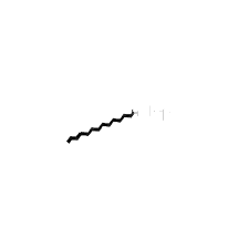 C=CC=CCCCCCCCCC[CH]CCCCCC